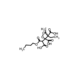 CCCCOC(=O)C(C(=O)O)C(OC)(C(=O)O)C(CC)(CC)C(=O)O